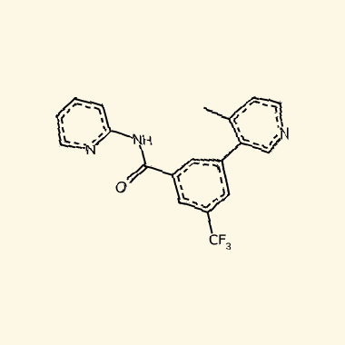 Cc1ccncc1-c1cc(C(=O)Nc2ccccn2)cc(C(F)(F)F)c1